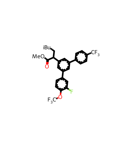 CCC(C)CC(C(=O)OC)c1cc(-c2ccc(C(F)(F)F)cc2)cc(-c2ccc(OC(F)(F)F)c(F)c2)c1